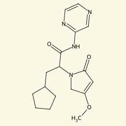 COC1=CC(=O)N(C(CC2CCCC2)C(=O)Nc2cnccn2)C1